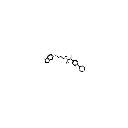 O=C(Nc1ccc(C2CCCCC2)cc1)OCCCCc1ccc2c(c1)CCC2